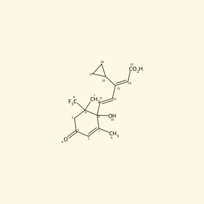 CC1=CC(=O)CC(C)(C(F)(F)F)C1(O)C=CC(=CC(=O)O)C1CC1